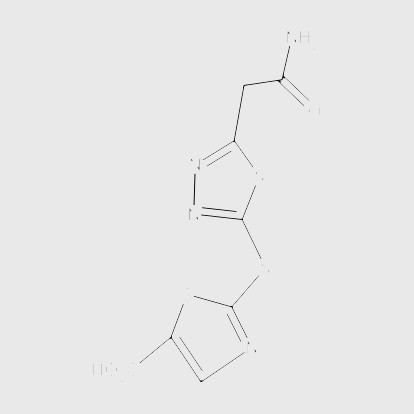 NC(=O)Cc1nnc(Sc2ncc(C(=O)O)s2)s1